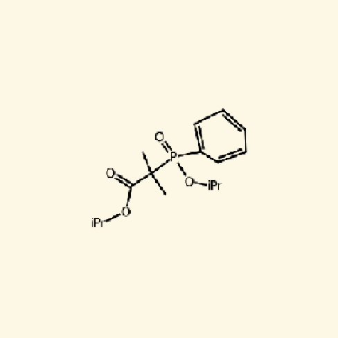 CC(C)OC(=O)C(C)(C)P(=O)(OC(C)C)c1ccccc1